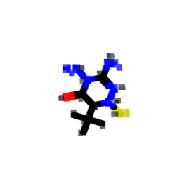 CC(C)(C)C1C(=O)N(N)C(N)=NN1S